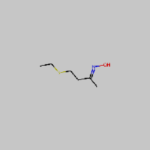 CCSCCC(C)=NO